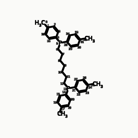 Cc1ccc(P(CCCCCCCP(c2ccc(C)cc2)c2ccc(C)cc2)c2ccc(C)cc2)cc1